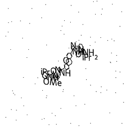 COC(=O)N[C@H](C(=O)N1CCC[C@H]1c1ncc(-c2ccc3c(c2)Oc2ccc(-c4cnc([C@@H]5CCCN5C(=O)[C@@H](N)C(C)C)[nH]4)cc2CC3)[nH]1)C(C)C